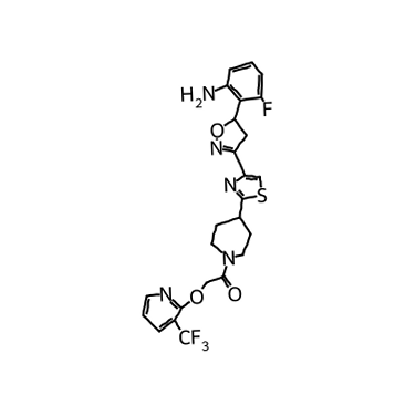 Nc1cccc(F)c1C1CC(c2csc(C3CCN(C(=O)COc4ncccc4C(F)(F)F)CC3)n2)=NO1